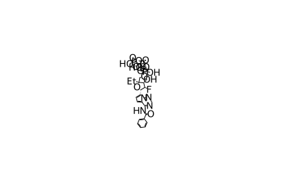 CC[C@]1(COP(=O)(O)OP(=O)(O)OP(=O)(O)O)O[C@@H](c2ccc3c(NC(=O)c4ccccc4)ncnn23)[C@H](F)[C@@H]1O